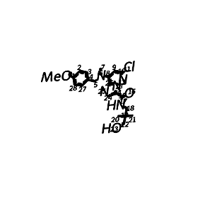 COc1ccc(CN(C)c2cc(Cl)nn3c(C(=O)NCC(C)(C)CO)cnc23)cc1